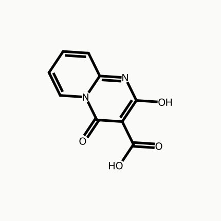 O=C(O)c1c(O)nc2ccccn2c1=O